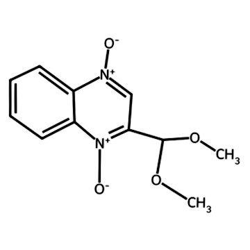 COC(OC)c1c[n+]([O-])c2ccccc2[n+]1[O-]